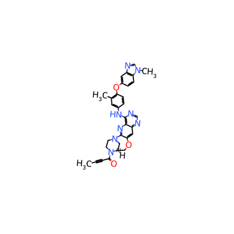 CC#CC(=O)N1CCN2C[C@H]1COc1cc3ncnc(Nc4ccc(Oc5ccc6c(c5)ncn6C)c(C)c4)c3nc12